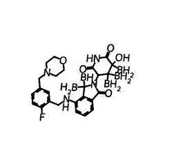 BC1(B)c2c(NCc3cc(CN4CCOCC4)ccc3F)cccc2C(=O)N1C1C(=O)NC(=O)C(B)(O)C1(B)B